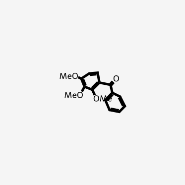 COc1ccc(C(=O)c2ccccc2)c(OC)c1OC